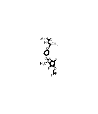 CNC(=O)N[C@@H](C)CO[C@H]1CC[C@H](Oc2nc3c(F)cc(OCC(F)F)c(F)c3n2C)CC1